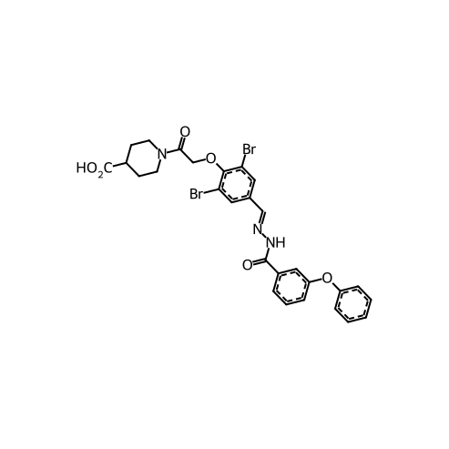 O=C(NN=Cc1cc(Br)c(OCC(=O)N2CCC(C(=O)O)CC2)c(Br)c1)c1cccc(Oc2ccccc2)c1